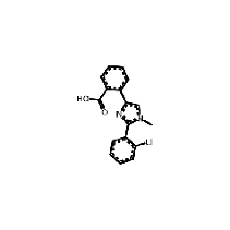 Cn1cc(-c2ccccc2C(=O)O)nc1-c1ccccc1Cl